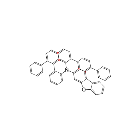 c1ccc(-c2ccc(-c3ccccc3N(c3ccc4c(c3)oc3ccccc34)c3ccccc3-c3ccccc3-c3ccccc3)cc2)cc1